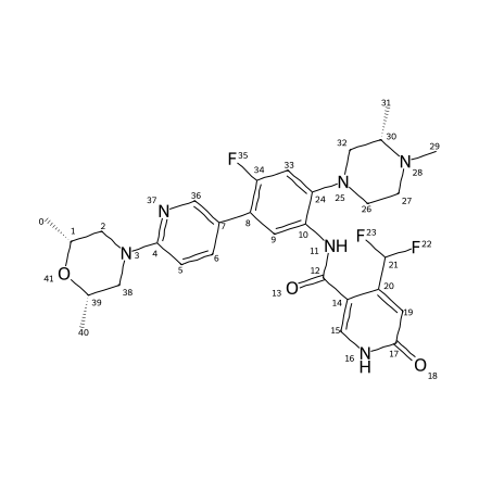 C[C@@H]1CN(c2ccc(-c3cc(NC(=O)c4c[nH]c(=O)cc4C(F)F)c(N4CCN(C)[C@@H](C)C4)cc3F)cn2)C[C@H](C)O1